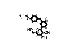 CCOc1ccc(Cc2cc(C3O[C@H](CO)C[C@H](O)[C@H]3O)ccc2Cl)cc1